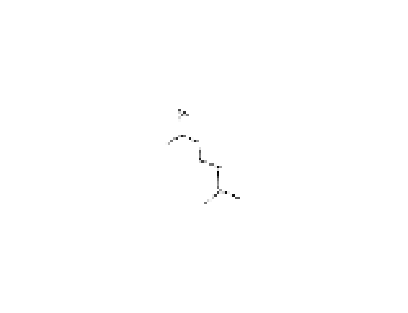 CC(=O)C(C)CCC=C(C)C